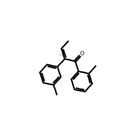 C/C=C(\C(=O)c1ccccc1C)c1cccc(C)c1